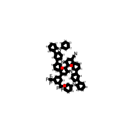 N#Cc1ccc(-c2ccc(-c3cc(C(F)(F)F)cc(C(F)(F)F)c3)cc2-n2c3ccccc3c3cc4c5ccccc5n(-c5ccccc5)c4cc32)c(-n2c3ccccc3c3cc4c5ccccc5n(-c5ccccc5)c4cc32)c1